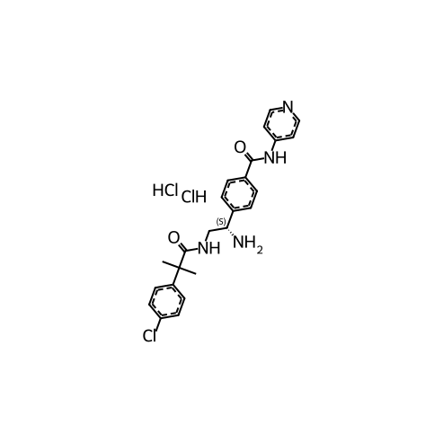 CC(C)(C(=O)NC[C@@H](N)c1ccc(C(=O)Nc2ccncc2)cc1)c1ccc(Cl)cc1.Cl.Cl